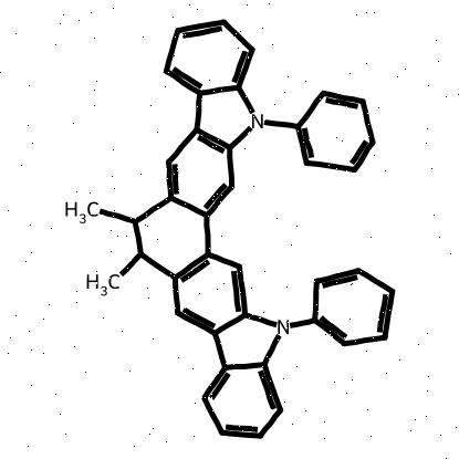 CC1c2cc3c4ccccc4n(-c4ccccc4)c3cc2-c2cc3c(cc2C1C)c1ccccc1n3-c1ccccc1